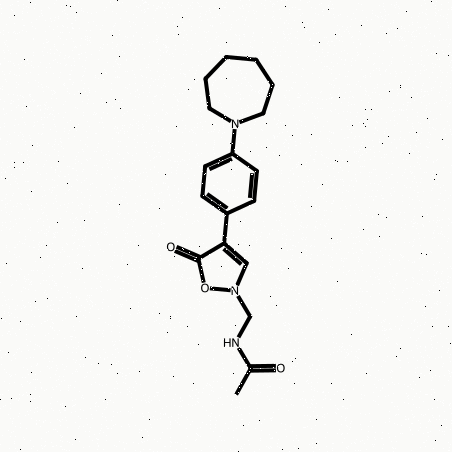 CC(=O)NCn1cc(-c2ccc(N3CCCCCC3)cc2)c(=O)o1